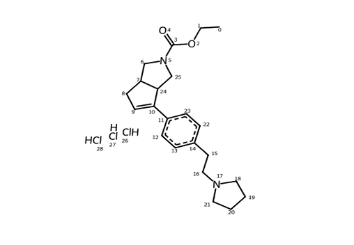 CCOC(=O)N1CC2CC=C(c3ccc(CCN4CCCC4)cc3)C2C1.Cl.Cl.Cl